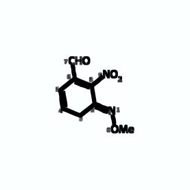 CON=C1CC=CC(C=O)=C1[N+](=O)[O-]